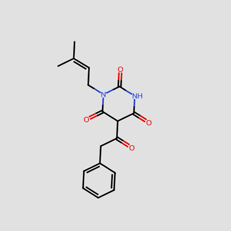 CC(C)=CCN1C(=O)NC(=O)C(C(=O)Cc2ccccc2)C1=O